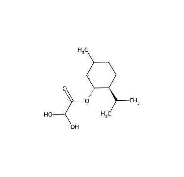 CC1CC[C@@H](C(C)C)[C@H](OC(=O)C(O)O)C1